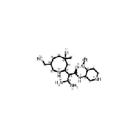 CCOC1CCNCC1NC(=O)C(C(N)N)C1C[C@](C)(CC)CCC(CC#N)CN1